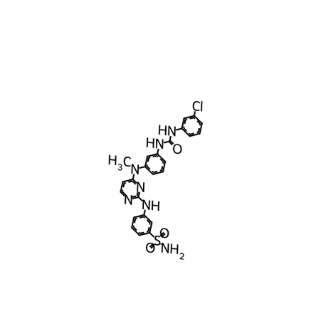 CN(c1cccc(NC(=O)Nc2cccc(Cl)c2)c1)c1ccnc(Nc2cccc(S(N)(=O)=O)c2)n1